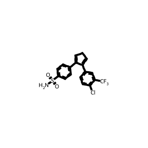 NS(=O)(=O)c1ccc(C2=CCC=C2c2ccc(Cl)c(C(F)(F)F)c2)cc1